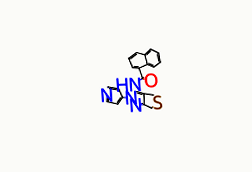 O=C(Nc1c2c(nn1-c1ccncc1)CSC2)c1cccc2ccccc12